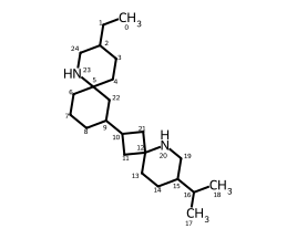 CCC1CCC2(CCCC(C3CC4(CCC(C(C)C)CN4)C3)C2)NC1